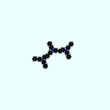 c1ccc(-c2ccc(N(c3ccc(-c4ccc5cc(N(c6ccc(-c7ccccc7)cc6)c6ccc(-c7ccccc7)cc6)ccc5c4)cc3)c3ccc(-c4ccc5cc(N(c6ccc(-c7ccccc7)cc6)c6ccc(-c7ccccc7)cc6)ccc5c4)cc3)cc2)cc1